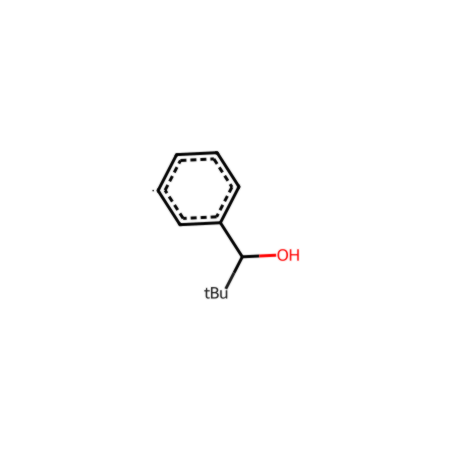 CC(C)(C)C(O)c1c[c]ccc1